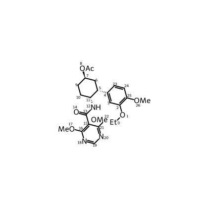 CCOc1cc([C@H]2C[C@H](OC(C)=O)CC[C@H]2NC(=O)c2c(OC)ncnc2OC)ccc1OC